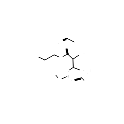 C=CC.C=CC.CC(C)OC(C)C.O=C(O)C(O)C(O)C(=O)OCCO